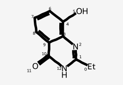 CCc1nc2c(O)cccc2c(=O)[nH]1